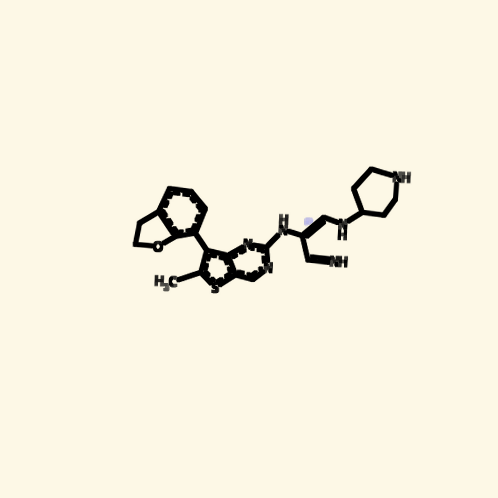 Cc1sc2cnc(N/C(C=N)=C/NC3CCNCC3)nc2c1-c1cccc2c1OCC2